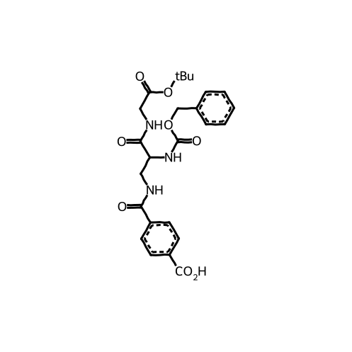 CC(C)(C)OC(=O)CNC(=O)C(CNC(=O)c1ccc(C(=O)O)cc1)NC(=O)OCc1ccccc1